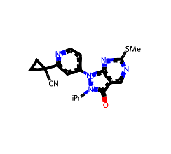 CSc1ncc2c(=O)n(C(C)C)n(-c3ccnc(C4(C#N)CC4)c3)c2n1